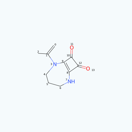 C=C(C)N1CCCNc2c1c(=O)c2=O